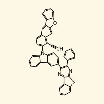 C#Cc1c(-n2c3ccccc3c3cc(-c4nc5c(nc4-c4ccccc4)sc4ccccc45)ccc32)ccc2cc3c(cc12)oc1ccccc13